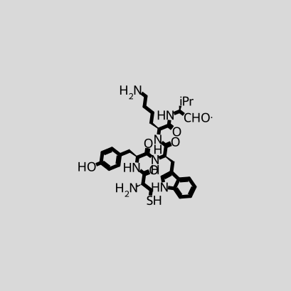 CC(C)[C@@H]([C]=O)NC(=O)[C@H](CCCCN)NC(=O)[C@@H](Cc1c[nH]c2ccccc12)NC(=O)[C@H](Cc1ccc(O)cc1)NC(=O)[C@@H](N)CS